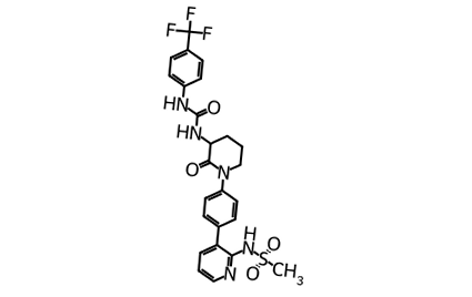 CS(=O)(=O)Nc1ncccc1-c1ccc(N2CCCC(NC(=O)Nc3ccc(C(F)(F)F)cc3)C2=O)cc1